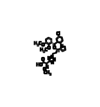 CON=C(C(=O)O)c1nnn(CC[C@H]2O[C@H](c3cccc(OC)c3OC)c3cc(Cl)ccc3-n3cccc32)n1